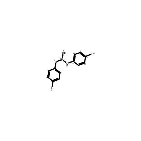 OP(Oc1ccc(F)cc1)Oc1ccc(F)cc1